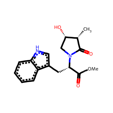 COC(=O)[C@H](Cc1c[nH]c2ccccc12)N1C[C@H](O)[C@H](C)C1=O